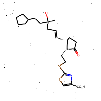 C[C@@](O)(C/C=C/[C@@H]1CCC(=O)[C@@H]1CCSc1nc(C(=O)O)cs1)CCC1CCCC1